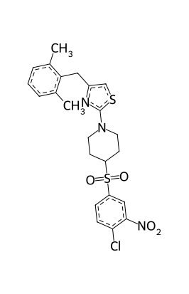 Cc1cccc(C)c1Cc1csc(N2CCC(S(=O)(=O)c3ccc(Cl)c([N+](=O)[O-])c3)CC2)n1